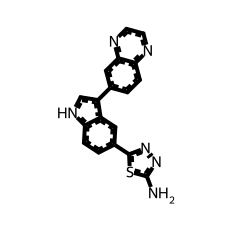 Nc1nnc(-c2ccc3[nH]cc(-c4ccc5nccnc5c4)c3c2)s1